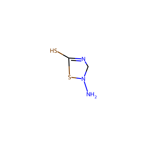 NN1CN=C(S)S1